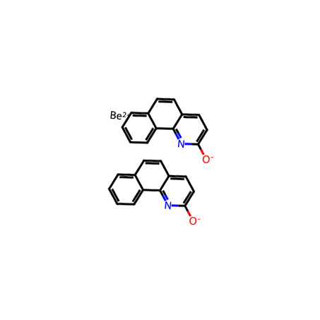 [Be+2].[O-]c1ccc2ccc3ccccc3c2n1.[O-]c1ccc2ccc3ccccc3c2n1